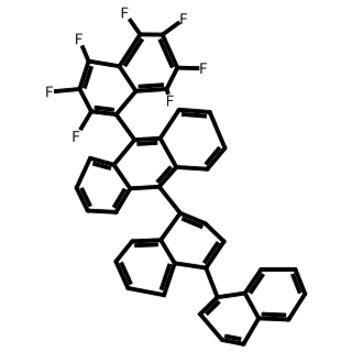 Fc1c(F)c(F)c2c(-c3c4ccccc4c(-c4ccc(-c5cccc6ccccc56)c5ccccc45)c4ccccc34)c(F)c(F)c(F)c2c1F